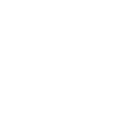 CC(C)(C)OC(=O)NCC(Nc1cccc(-c2cnc3c(NC4CCC(NC(=O)OC(C)(C)C)CC4)nccn23)n1)c1ccccc1